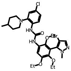 CCOc1cc(NC(=O)Nc2ccc(Cl)cc2N2CCC(C)CC2)c(OCC)c(-c2c(Br)cnn2C)c1OCC